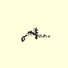 C=C/C(NC)=C(\CCOC(C)COCCCN1CCC(C)(C)CC1)C(=C)O/C(C)=C(/C)F